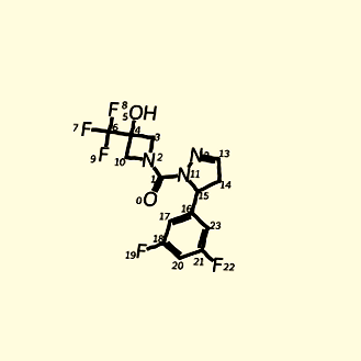 O=C(N1CC(O)(C(F)(F)F)C1)N1N=CCC1c1cc(F)cc(F)c1